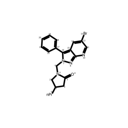 CCCC1CC(=O)N(Cn2nc3ncc(Br)cc3c2-c2ccccc2)C1